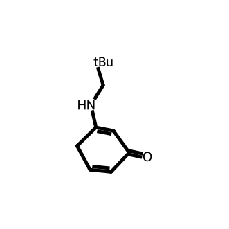 CC(C)(C)CNC1=CC(=O)C=CC1